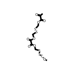 COCSSCOC(=O)C(=O)OCSSCOC(=O)C(C)=O